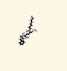 CCC(CCC(O)NS(=O)(=O)Cc1ccccc1)NCCCCCCCF